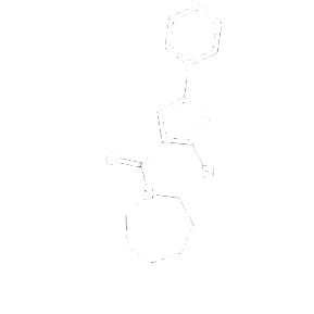 O=C(c1cc(-c2ccccc2)sc1Br)N1CCCCCC1